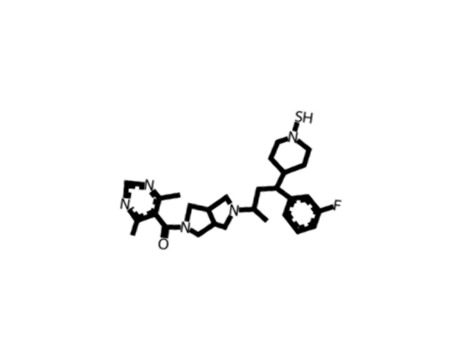 Cc1ncnc(C)c1C(=O)N1CC2CN(C(C)CC(c3cccc(F)c3)C3CCN(S)CC3)CC2C1